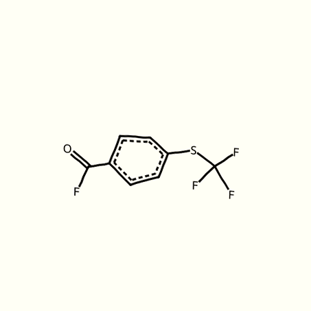 O=C(F)c1ccc(SC(F)(F)F)cc1